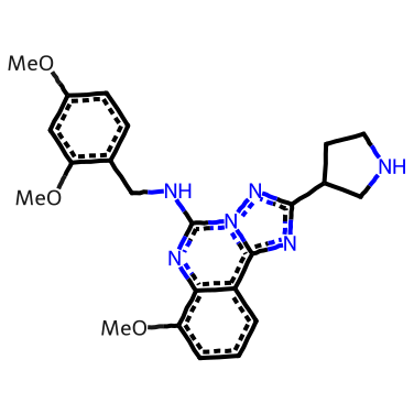 COc1ccc(CNc2nc3c(OC)cccc3c3nc(C4CCNC4)nn23)c(OC)c1